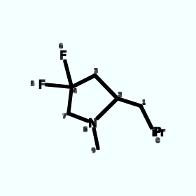 CC(C)CC1CC(F)(F)CN1C